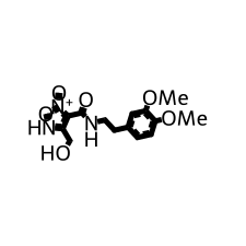 COc1ccc(CCNC(=O)c2c(CO)[nH]o[n+]2=O)cc1OC